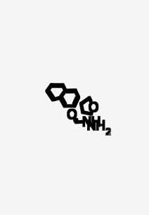 C1CCOC1.NNC=O.c1ccc2ccccc2c1